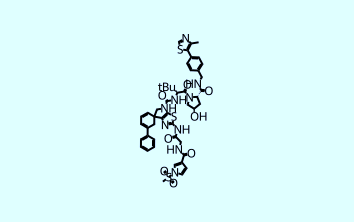 Cc1ncsc1-c1ccc(CNC(=O)[C@@H]2C[C@@H](O)CN2C(=O)[C@@H](NC(=O)NCC2(c3csc(NC(=O)CNC(=O)c4ccn(S(C)(=O)=O)c4)n3)C=CC=C(c3ccccc3)C2)C(C)(C)C)cc1